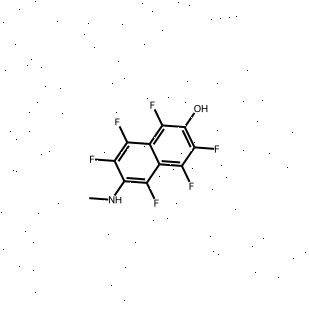 CNc1c(F)c(F)c2c(F)c(O)c(F)c(F)c2c1F